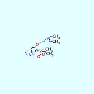 CC(C)(C)OC=O.CCN(CC)CCCCOc1ccc2c(c1)CCCN2